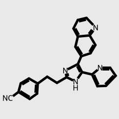 N#Cc1ccc(CCc2nc(-c3ccc4ncccc4c3)c(-c3ccccn3)[nH]2)cc1